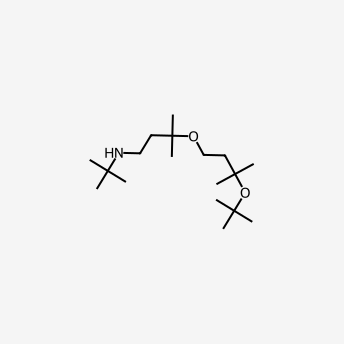 CC(C)(C)NCCC(C)(C)OCCC(C)(C)OC(C)(C)C